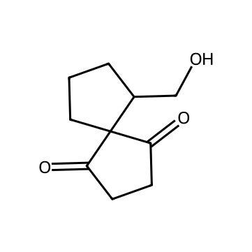 O=C1CCC(=O)C12CCCC2CO